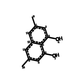 Cc1cc(O)c2c(O)cc(C)cc2c1